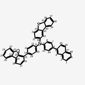 c1ccc2cc(-c3ccc(N(c4ccc(-c5cccc6c5oc5ccccc56)cc4)c4ccc5sc6ccccc6c5c4)cc3)ccc2c1